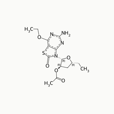 CCOc1nc(N)nc2c1sc(=O)n2[C@@H]1O[C@H](CC)C[C@H]1OC(C)=O